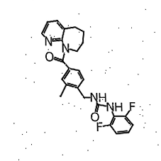 Cc1cc(C(=O)N2CCCCc3cccnc32)ccc1CNC(=O)Nc1c(F)cccc1F